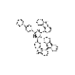 c1ccc(-c2ccc(-c3nc(-c4ccc5sc6ccccc6c5c4)nc(-c4c(-c5ccc6sc7ccccc7c6c5)ccc5oc6ccccc6c45)n3)cc2)cc1